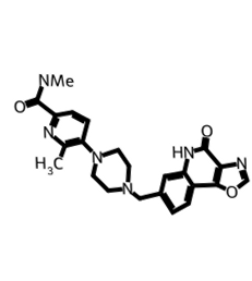 CNC(=O)c1ccc(N2CCN(Cc3ccc4c(c3)[nH]c(=O)c3ncoc34)CC2)c(C)n1